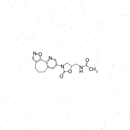 CC(=O)NCC1CN(c2cnc3c(c2)CCCc2cnoc2-3)C(=O)O1